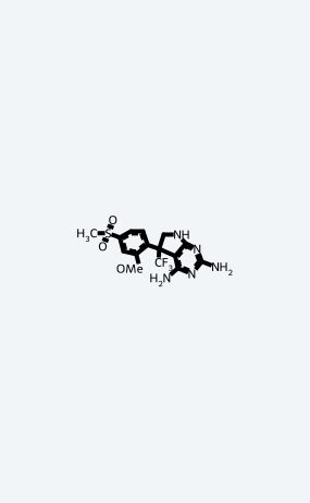 COc1cc(S(C)(=O)=O)ccc1C1(C(F)(F)F)CNc2nc(N)nc(N)c21